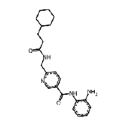 Nc1ccccc1NC(=O)c1ccc(CNC(=O)CCC2CCCCC2)nc1